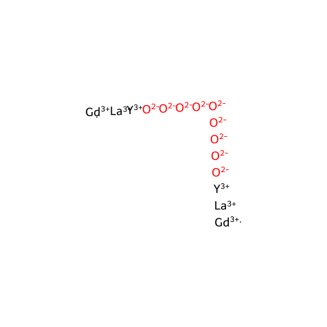 [Gd+3].[Gd+3].[La+3].[La+3].[O-2].[O-2].[O-2].[O-2].[O-2].[O-2].[O-2].[O-2].[O-2].[Y+3].[Y+3]